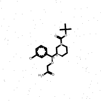 CC(C)(C)OC(=O)N1CCC[C@@H]([C@@H](OCC(N)=O)c2cccc(Cl)c2)C1